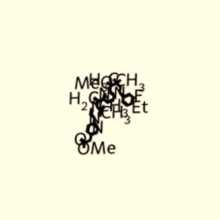 C=C(c1ccc2c(n1)C(OC)C(C)(C)CN2c1ccc(CC)c(F)c1)N1CCN(c2ccc(CC(=O)OC)cn2)CC1(C)C